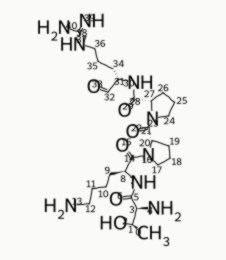 C[C@@H](O)[C@H](N)C(=O)N[C@@H](CCCCN)C(=O)N1CCC[C@H]1C(=O)N1CCC[C@H]1C(=O)N[C@H](C=O)CCCNC(=N)N